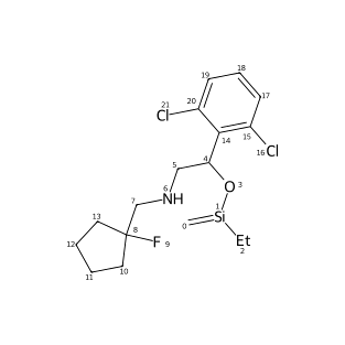 C=[Si](CC)OC(CNCC1(F)CCCC1)c1c(Cl)cccc1Cl